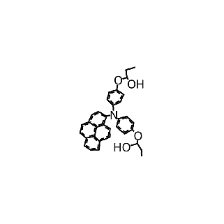 CCC(O)Oc1ccc(N(c2ccc(OC(O)CC)cc2)c2ccc3ccc4cccc5ccc2c3c45)cc1